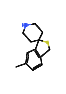 Cc1ccc2c(c1)C1(CCNCC1)SC2